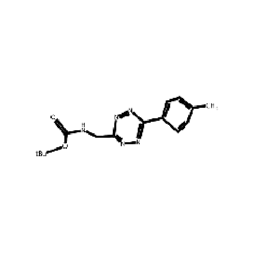 Cc1ccc(-c2nnc(CNC(=O)OC(C)(C)C)nn2)cc1